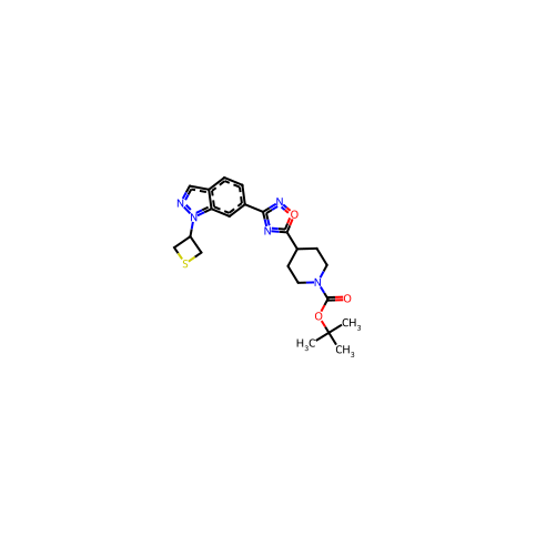 CC(C)(C)OC(=O)N1CCC(c2nc(-c3ccc4cnn(C5CSC5)c4c3)no2)CC1